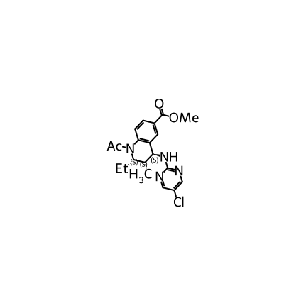 CC[C@H]1[C@@H](C)[C@H](Nc2ncc(Cl)cn2)c2cc(C(=O)OC)ccc2N1C(C)=O